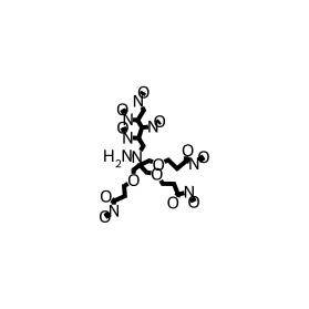 NN(CC(N=O)C(N=O)C(CN=O)N=O)C(COCCC(=O)N=O)(COCCC(=O)N=O)COCCC(=O)N=O